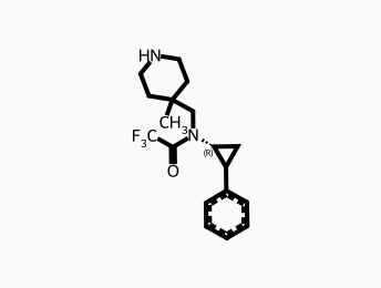 CC1(CN(C(=O)C(F)(F)F)[C@@H]2CC2c2ccccc2)CCNCC1